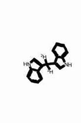 [2H]C([2H])(c1c[nH]c2ccccc12)c1c[nH]c2ccccc12